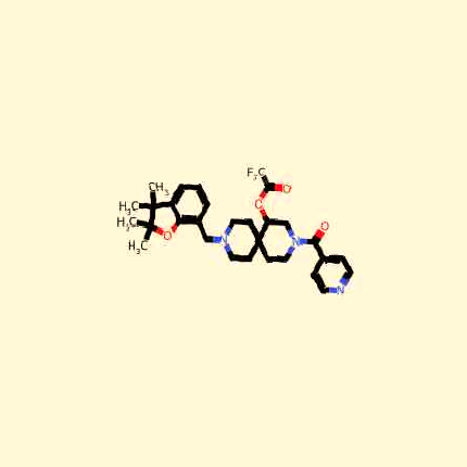 CC1(C)Oc2c(CN3CCC4(CC3)CCN(C(=O)c3ccncc3)CC4OC(=O)C(F)(F)F)cccc2C1(C)C